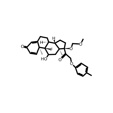 COCO[C@]1(C(=O)COc2ccc(C)cc2)CC[C@H]2[C@@H]3CCC4=CC(=O)C=C[C@]4(C)[C@@]3(F)C(O)C[C@@]21C